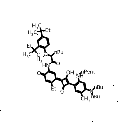 CCCCCNc1cc(N(CCCC)CCCC)c(C)cc1C1=C(O)/C(=C2\C=C(NC(=O)C(CCCC)Oc3ccc(C(C)(C)CC)cc3C(C)(C)CC)C(=O)C=C2CC)C1=O